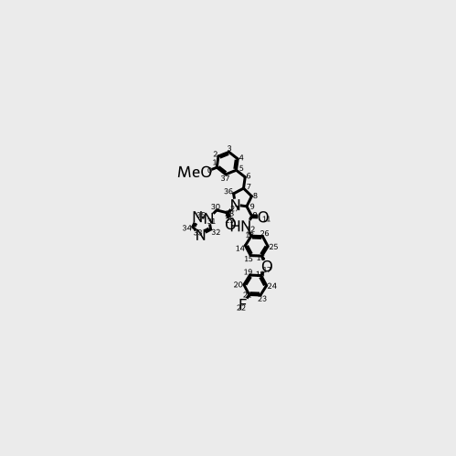 COc1cccc(CC2CC(C(=O)Nc3ccc(Oc4ccc(F)cc4)cc3)N(C(=O)Cn3cncn3)C2)c1